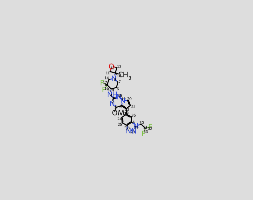 COc1nc(N[C@@H]2CCN(C3(C)COC3)CC2(F)F)nn2ccc(-c3ccc4nnn(CC(F)F)c4c3)c12